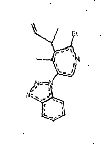 C=CC(C)c1c(CC)ncc(-n2nnc3ccccc32)c1C